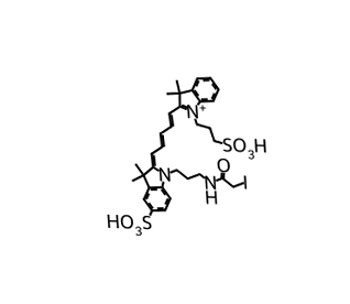 CC1(C)C(/C=C/C=C/C=C2\N(CCCNC(=O)CI)c3ccc(S(=O)(=O)O)cc3C2(C)C)=[N+](CCCS(=O)(=O)O)c2ccccc21